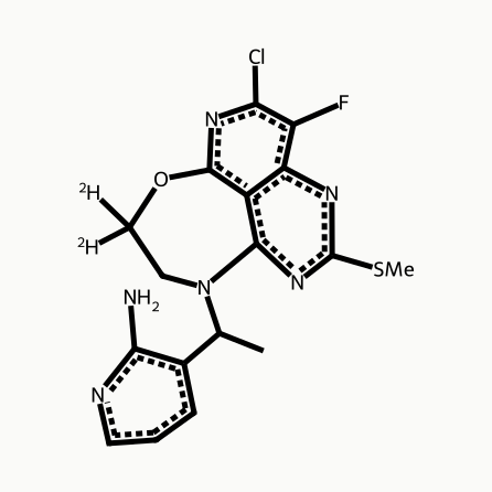 [2H]C1([2H])CN(C(C)c2cccnc2N)c2nc(SC)nc3c(F)c(Cl)nc(c23)O1